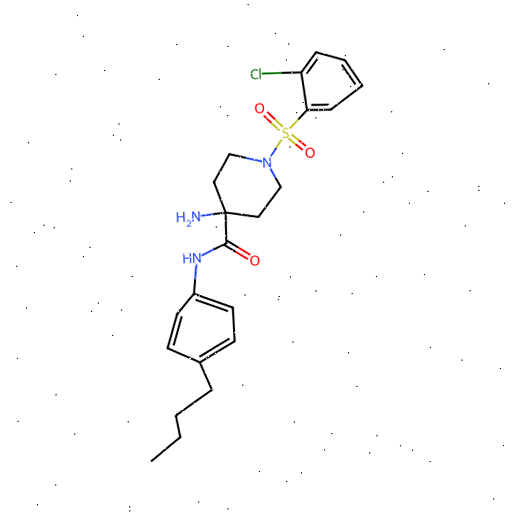 CCCCc1ccc(NC(=O)C2(N)CCN(S(=O)(=O)c3ccccc3Cl)CC2)cc1